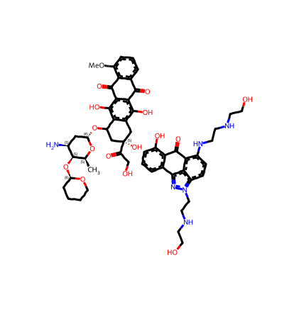 COc1cccc2c1C(=O)c1c(O)c3c(c(O)c1C2=O)C[C@@](O)(C(=O)CO)CC3O[C@H]1C[C@H](N)[C@H](O[C@@H]2CCCCO2)[C@H](C)O1.O=C1c2c(O)cccc2-c2nn(CCNCCO)c3ccc(NCCNCCO)c1c23